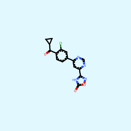 O=C(c1ccc(-c2cc(-c3noc(=O)[nH]3)ncn2)cc1Cl)C1CC1